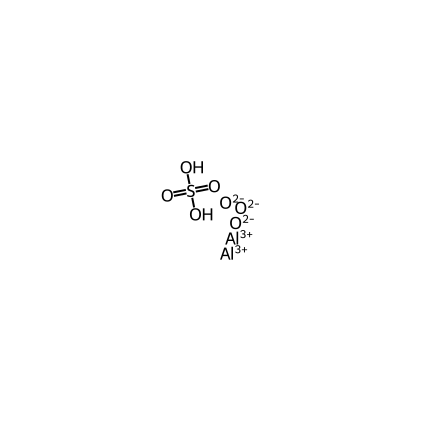 O=S(=O)(O)O.[Al+3].[Al+3].[O-2].[O-2].[O-2]